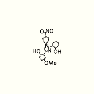 COc1ccc(O)c(-c2cn(-c3ccc(C(=O)N=O)cc3)c(-c3ccccc3O)n2)c1